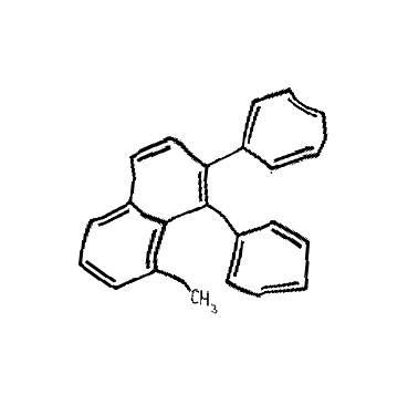 Cc1cccc2ccc(-c3[c]cccc3)c(-c3ccccc3)c12